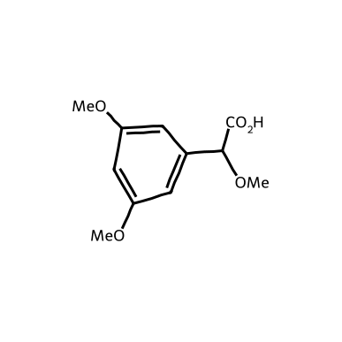 COc1cc(OC)cc(C(OC)C(=O)O)c1